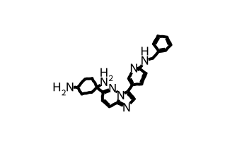 NC1CCC(N)(c2ccc3ncc(-c4ccc(NCc5ccccc5)nc4)n3n2)CC1